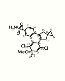 COC1(Cl)C=C(Cl)C(C2=C(c3ccc(S(N)(=O)=O)cc3)CC3(CC3)C2)C=C1Cl